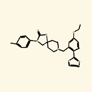 CCOc1ccc(-c2nccs2)c(CN2CCC3(CC2)CN(c2ccc(C)cc2)C(=O)O3)c1